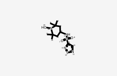 CC1(C)CC(NS(=O)(=O)c2cnsn2)CC(C)(C)N1O